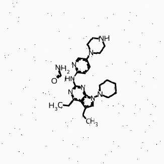 CCc1cn(N2CCCCC2)c2nc(Nc3ccc(N4CCNCC4)cn3)nc(CC)c12.NC=O